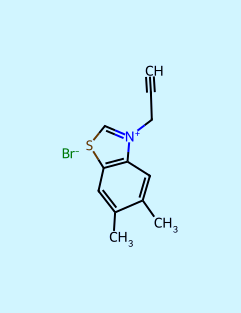 C#CC[n+]1csc2cc(C)c(C)cc21.[Br-]